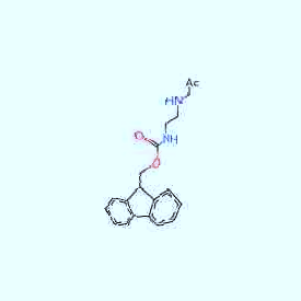 CC(=O)CNCCNC(=O)OCC1c2ccccc2-c2ccccc21